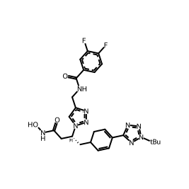 CC(C)(C)n1nnc(C2=CCC(C[C@H](CC(=O)NO)n3cc(CNC(=O)c4ccc(F)c(F)c4)nn3)C=C2)n1